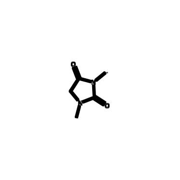 [CH2]N1C(=O)CN(C)C1=O